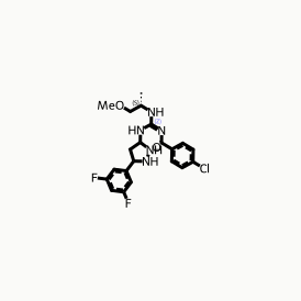 COC[C@H](C)N/C(=N/C(=O)c1ccc(Cl)cc1)NC1CC(c2cc(F)cc(F)c2)NN1